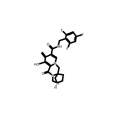 C=C1C(C(=O)NCc2c(F)cc(F)cc2F)=CN2CC34CC[C@@H](CN3C(=O)C2=C1O)C4